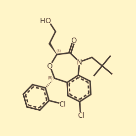 CC(C)(C)CN1C(=O)[C@H](CCO)O[C@@H](c2ccccc2Cl)c2cc(Cl)ccc21